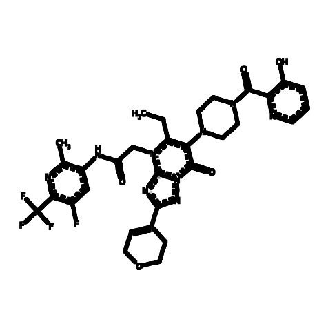 CCc1c(N2CCN(C(=O)c3ncccc3O)CC2)c(=O)n2nc(C3=CCOCC3)nc2n1CC(=O)Nc1cc(F)c(C(F)(F)F)nc1C